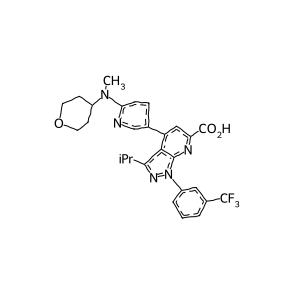 CC(C)c1nn(-c2cccc(C(F)(F)F)c2)c2nc(C(=O)O)cc(-c3ccc(N(C)C4CCOCC4)nc3)c12